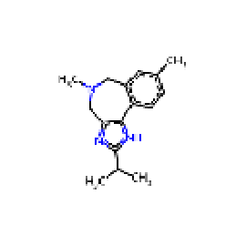 Cc1ccc2c(c1)CN(C)Cc1nc(C(C)C)[nH]c1-2